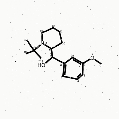 COc1cccc(C(O)C2CCCCN2C(C)(C)C)c1